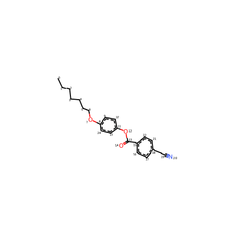 CCCCCCCOc1ccc(OC(=O)c2ccc(C#N)cc2)cc1